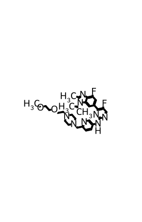 COCCOCCN1CCN(Cc2ccc(Nc3ncc(F)c(-c4cc(F)c5nc(C)n(C(C)C)c5c4)n3)cn2)CC1